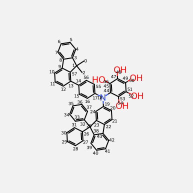 CC1(C)c2ccccc2-c2cccc(-c3ccc(N(c4ccc5c(c4)C(c4ccccc4)(c4ccccc4)c4ccccc4-5)c4c(O)c(O)c(O)c(O)c4O)cc3)c21